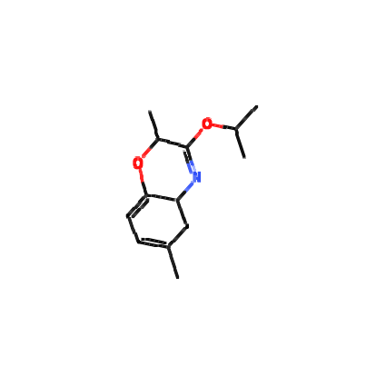 CC1=CC=C2OC(C)C(OC(C)C)=NC2C1